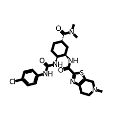 CN1CCc2nc(C(=O)N[C@@H]3C[C@@H](C(=O)N(C)C)CC[C@@H]3NC(=O)Nc3ccc(Cl)cc3)sc2C1